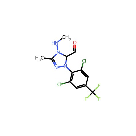 CNN1C(C)=NN(c2c(Cl)cc(C(F)(F)F)cc2Cl)C1C=O